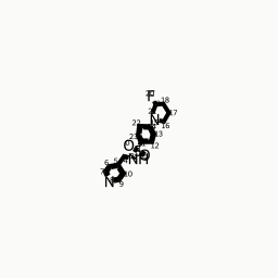 O=S(=O)(NCc1ccncc1)c1ccc(N2CCCC(F)C2)cc1